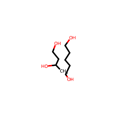 CC(O)CCO.OCCCCCO